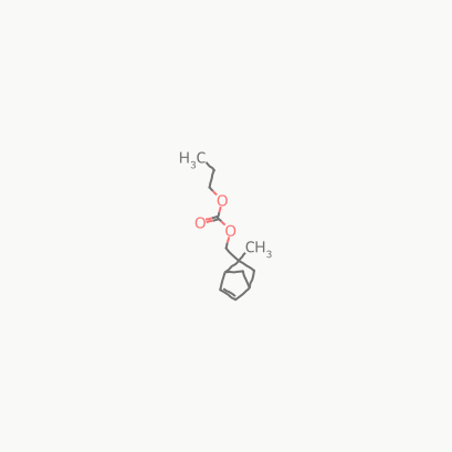 CCCOC(=O)OCC1(C)CC2C=CC1C2